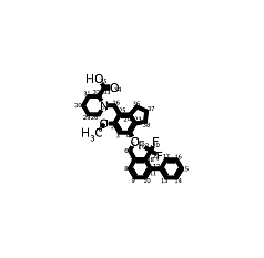 COc1cc(OCc2cccc(-c3ccccc3)c2C(F)(F)F)c2c(c1CN1CCCCC1C(=O)O)CCC2